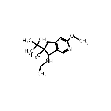 CCN[C@@H]1c2cnc(OC)cc2CC1(C)C(C)(C)C